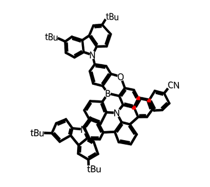 CC(C)(C)c1ccc2c(c1)c1cc(C(C)(C)C)ccc1n2-c1ccc2c(c1)Oc1cc(-c3cccc(C#N)c3)cc3c1B2c1ccc(-n2c4ccc(C(C)(C)C)cc4c4cc(C(C)(C)C)ccc42)cc1N3c1c(-c2ccccc2)cccc1-c1ccccc1